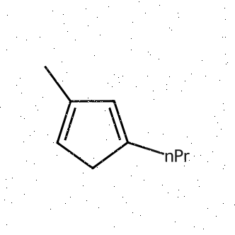 CCCC1=CC(C)=CC1